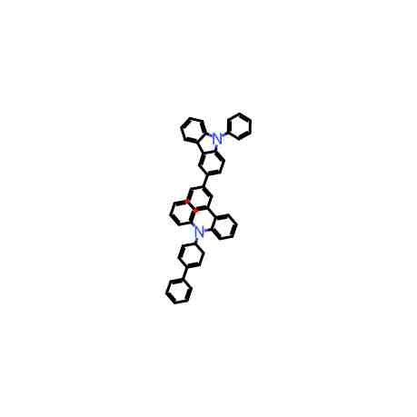 C1=CC(N(c2ccccc2)c2ccccc2-c2cccc(-c3ccc4c(c3)c3ccccc3n4-c3ccccc3)c2)CC=C1c1ccccc1